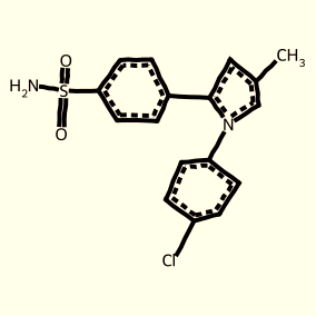 Cc1cc(-c2ccc(S(N)(=O)=O)cc2)n(-c2ccc(Cl)cc2)c1